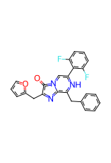 O=c1c(Cc2ccco2)nc2c(Cc3ccccc3)[nH]c(-c3c(F)cccc3F)cn1-2